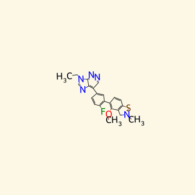 CCn1cnc2c(-c3ccc(F)c(-c4ccc5c(c4OC)CN(C)S5)c3)cnnc21